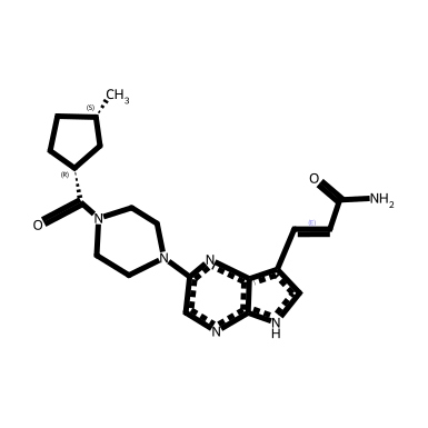 C[C@H]1CC[C@@H](C(=O)N2CCN(c3cnc4[nH]cc(/C=C/C(N)=O)c4n3)CC2)C1